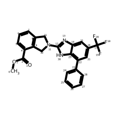 COC(=O)c1cccc2c1CN(c1nc3cc(C(F)(F)F)cc(-c4ccccc4)c3[nH]1)C2